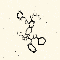 COc1ccc2c(c1OCc1cnccn1)C[C@@H](C(=O)O)N(C(O)[C@H](OC1CCCC1)c1ccccc1)C2